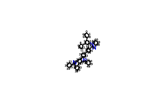 c1ccc(-c2cc(-c3ccccc3)cc(-n3c(-c4ccc(-c5ccc6c7cc8nc(-c9ccccc9)c9ccccc9c8cc7n(-c7ccccc7)c6c5)cc4)nc4ccccc43)c2)cc1